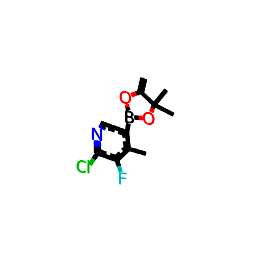 C=C1OB(c2cnc(Cl)c(F)c2C)OC1(C)C